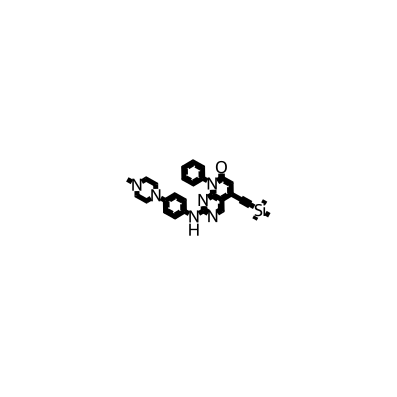 CN1CCN(c2ccc(Nc3ncc4c(C#C[Si](C)(C)C)cc(=O)n(-c5ccccc5)c4n3)cc2)CC1